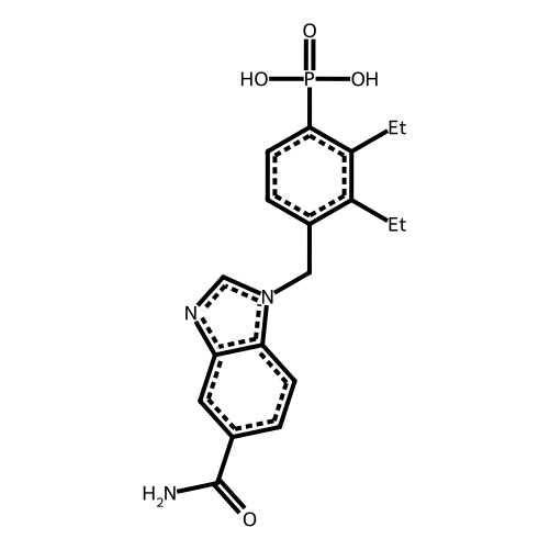 CCc1c(Cn2cnc3cc(C(N)=O)ccc32)ccc(P(=O)(O)O)c1CC